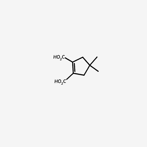 CC1(C)CC(C(=O)O)=C(C(=O)O)C1